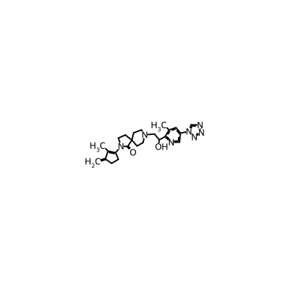 C=C1CCC(N2CCC3(CCN(CC(O)c4ncc(-n5cnnn5)cc4C)CC3)C2=O)=C1C